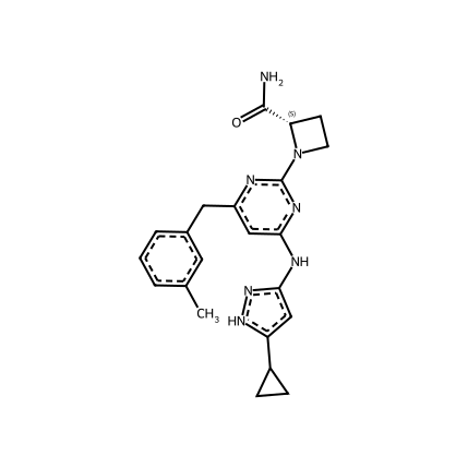 Cc1cccc(Cc2cc(Nc3cc(C4CC4)[nH]n3)nc(N3CC[C@H]3C(N)=O)n2)c1